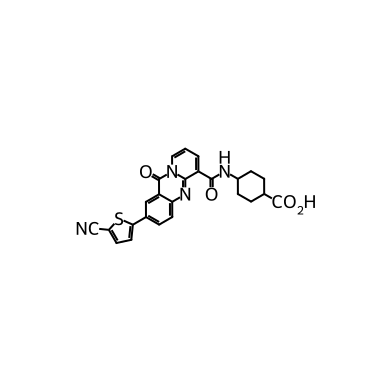 N#Cc1ccc(-c2ccc3nc4c(C(=O)NC5CCC(C(=O)O)CC5)cccn4c(=O)c3c2)s1